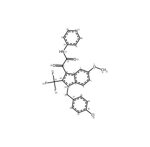 COc1ccc2c(c1)c(C(=O)C(=O)Nc1ccncc1)c(C(F)(F)F)n2Cc1ccc(Cl)cc1